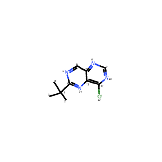 CC(C)(C)c1ncc2ncnc(Cl)c2n1